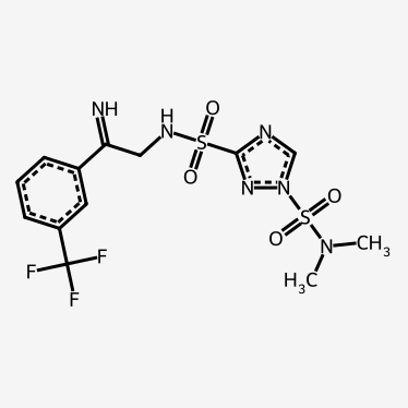 CN(C)S(=O)(=O)n1cnc(S(=O)(=O)NCC(=N)c2cccc(C(F)(F)F)c2)n1